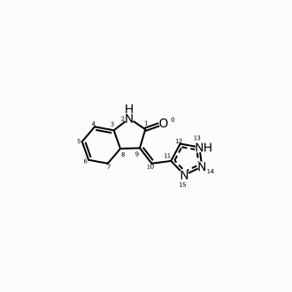 O=C1NC2=CC=CCC2C1=Cc1c[nH]nn1